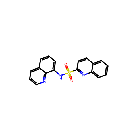 O=S(=O)(Nc1cccc2cccnc12)c1ccc2ccccc2n1